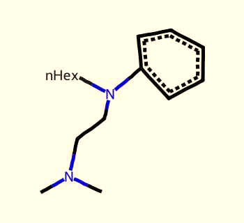 CCCCCCN(CCN(C)C)c1ccccc1